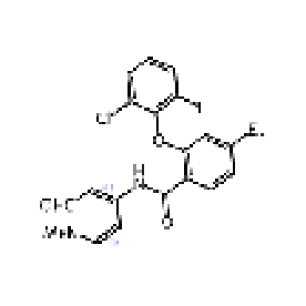 CCc1ccc(C(=O)NC(/C=C\NC)=C/C=O)c(Oc2c(F)cccc2Cl)c1